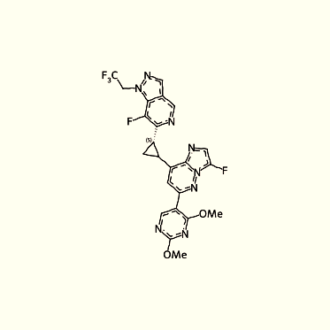 COc1ncc(-c2cc(C3C[C@@H]3c3ncc4cnn(CC(F)(F)F)c4c3F)c3ncc(F)n3n2)c(OC)n1